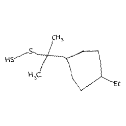 CCC1CCC(C(C)(C)SS)CC1